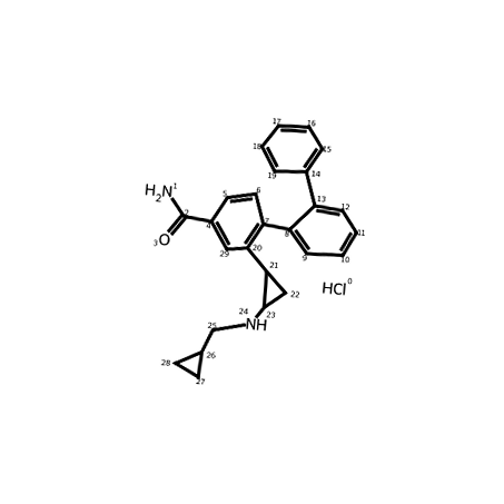 Cl.NC(=O)c1ccc(-c2ccccc2-c2ccccc2)c(C2CC2NCC2CC2)c1